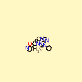 CB1C=c2oc3ncccc3c2=CN1N1c2nccnc2N(c2ccccc2)[C@@H]1C